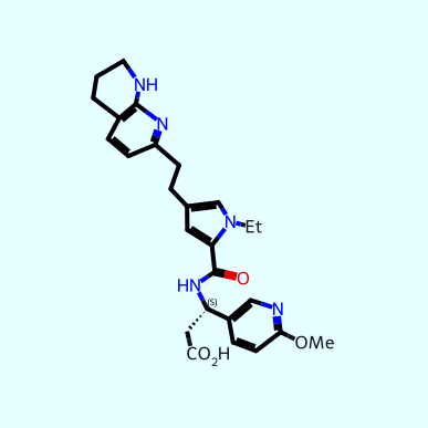 CCn1cc(CCc2ccc3c(n2)NCCC3)cc1C(=O)N[C@@H](CC(=O)O)c1ccc(OC)nc1